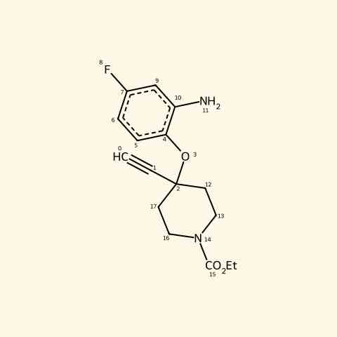 C#CC1(Oc2ccc(F)cc2N)CCN(C(=O)OCC)CC1